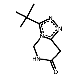 CC(C)(C)c1nnc2n1CNC(=O)C2